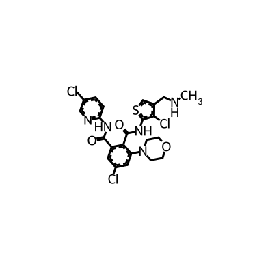 CNCc1csc(NC(=O)c2c(C(=O)Nc3ccc(Cl)cn3)cc(Cl)cc2N2CCOCC2)c1Cl